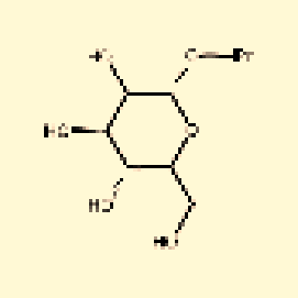 CC(C)O[C@@H]1OC(CO)[C@H](O)[C@@H](O)C1O